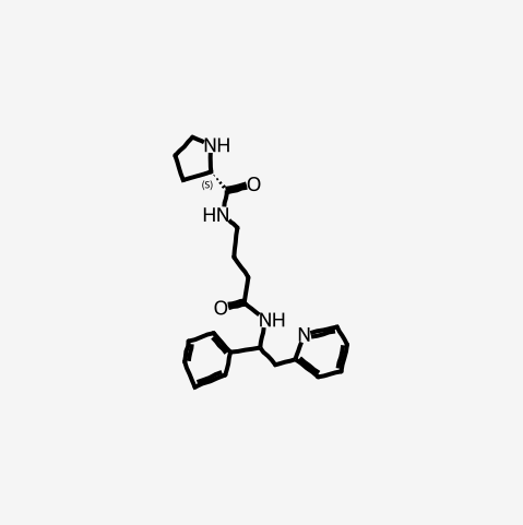 O=C(CCCNC(=O)[C@@H]1CCCN1)NC(Cc1ccccn1)c1ccccc1